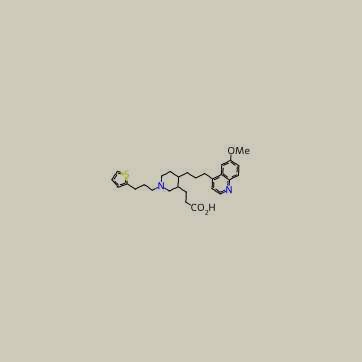 COc1ccc2nccc(CCCC3CCN(CCCc4cccs4)CC3CCC(=O)O)c2c1